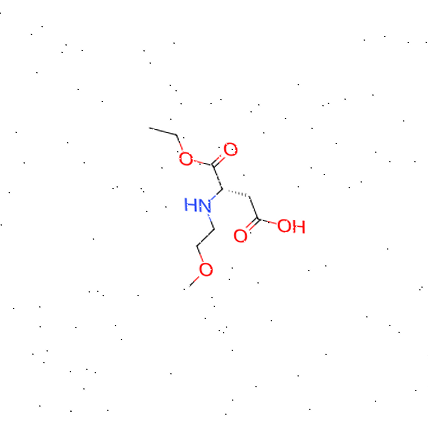 CCOC(=O)[C@H](CC(=O)O)NCCOC